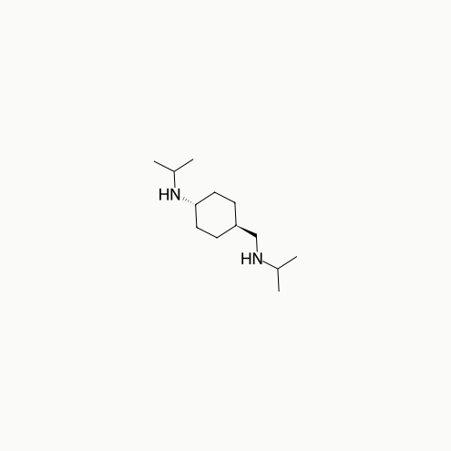 CC(C)NC[C@H]1CC[C@H](NC(C)C)CC1